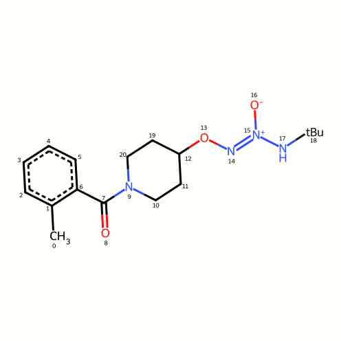 Cc1ccccc1C(=O)N1CCC(O/N=[N+](\[O-])NC(C)(C)C)CC1